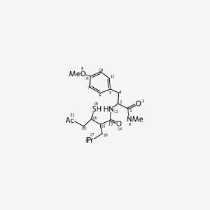 CNC(=O)C(Cc1ccc(OC)cc1)NC(=O)C(CC(C)C)C(S)CC(C)=O